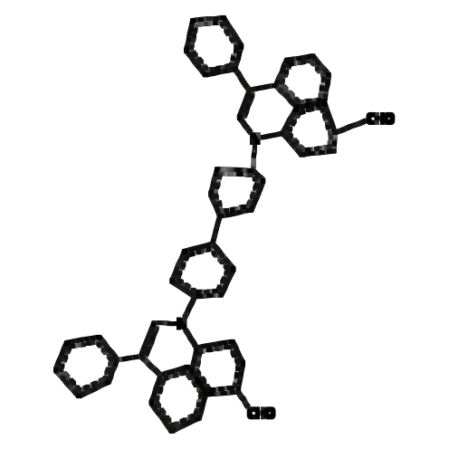 O=Cc1ccc(N(C=C(c2ccccc2)c2ccccc2)c2ccc(-c3ccc(N(C=C(c4ccccc4)c4ccccc4)c4ccc(C=O)cc4)cc3)cc2)cc1